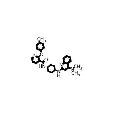 Cc1ccc(Oc2ncccc2C(=O)N[C@H]2CC[C@@H](Nc3cc(N(C)C)c4ccccc4n3)CC2)cc1